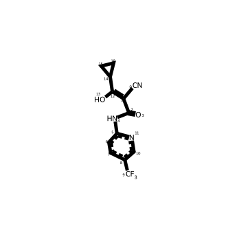 N#CC(C(=O)Nc1ccc(C(F)(F)F)cn1)=C(O)C1CC1